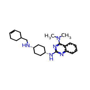 CN(C)c1nc(N[C@H]2CC[C@@H](NCC3CC=CCC3)CC2)nc2ccccc12